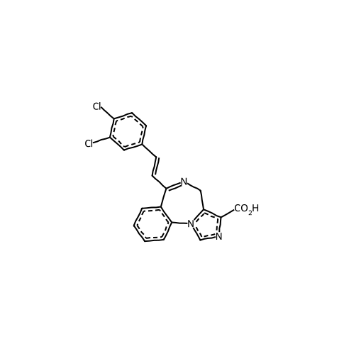 O=C(O)c1ncn2c1CN=C(/C=C/c1ccc(Cl)c(Cl)c1)c1ccccc1-2